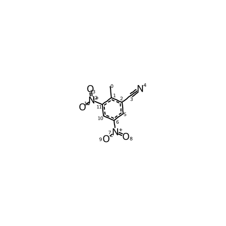 Cc1c(C#N)cc([N+](=O)[O-])cc1[N+](=O)[O-]